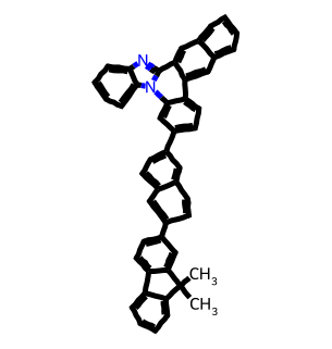 CC1(C)c2ccccc2-c2ccc(-c3ccc4cc(-c5ccc6c7cc8ccccc8cc7c7nc8ccccc8n7c6c5)ccc4c3)cc21